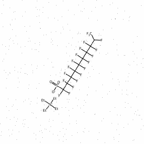 CC[N+](CC)(CC)CC.O=S(=O)([O-])C(F)(F)C(F)(F)C(F)(F)C(F)(F)C(F)(F)C(F)(F)C(F)(F)C(F)(F)C(F)C(F)(F)F